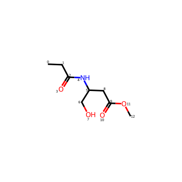 CCC(=O)NC(CO)CC(=O)OC